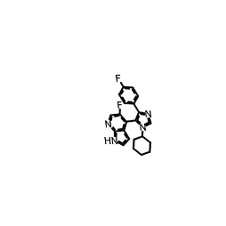 Fc1ccc(-c2ncn(C3CCCCC3)c2-c2c(F)cnc3[nH]ccc23)cc1